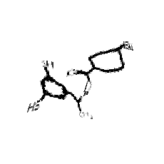 CCC(C)C1CCC(C(=O)OC(C)c2cc(S)cc(S)c2)CC1